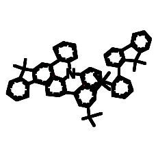 CC(C)(C)c1cc(-c2ccccc2N(c2ccc(-c3ccccc3-c3cccc4c3C(C)(C)c3ccccc3-4)cc2)c2ccccc2-c2ccc3c(c2)C(C)(C)c2ccccc2-3)cc(C(C)(C)C)c1